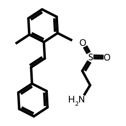 Cc1cccc(C)c1C=Cc1ccccc1.NCC=S(=O)=O